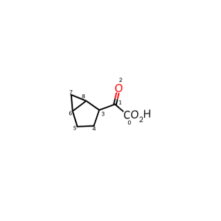 O=C(O)C(=O)C1CCC2CC21